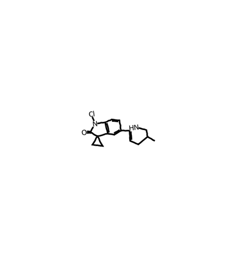 CC1CC=C(c2ccc3c(c2)C2(CC2)C(=O)N3Cl)NC1